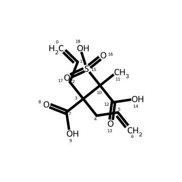 C=CCC(CC=C)(C(=O)O)C(C)(C(=O)O)S(=O)(=O)O